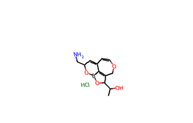 CC(O)C1OB2OC(CN)C=C3C=COCC1=C23.Cl